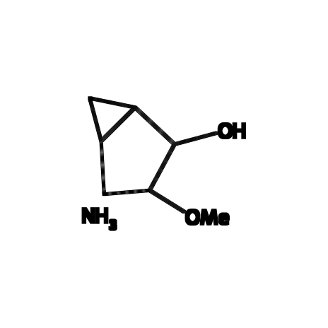 COC1CC2CC2C1O.N